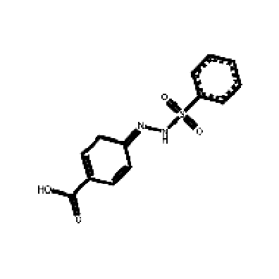 O=C(O)C1=CCC(=NNS(=O)(=O)c2ccccc2)C=C1